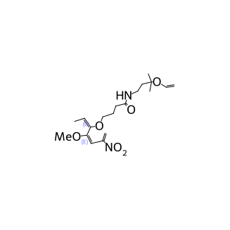 C=COC(C)(C)CCNC(=O)CCCOC(=C/C)/C(=C\C(=C)[N+](=O)[O-])OC